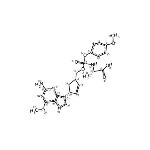 COc1ccc(OP(=O)(N[C@@H](C)C(=O)O)OC[C@@H]2C=C[C@H](n3cnc4c(OC)nc(N)nc43)C2)cc1